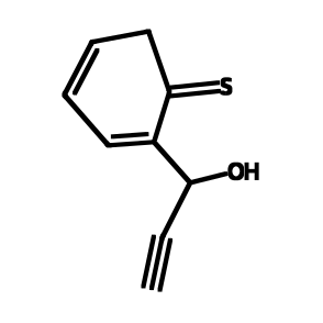 C#CC(O)C1=CC=CCC1=S